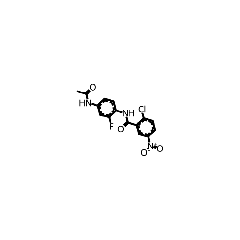 CC(=O)Nc1ccc(NC(=O)c2cc([N+](=O)[O-])ccc2Cl)c(F)c1